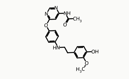 COc1cc(CCNc2ccc(Oc3cc(NC(C)=O)ncn3)cc2)ccc1O